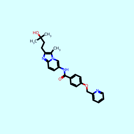 Cc1c(CCC(C)(C)O)nc2ccc(NC(=O)c3ccc(OCc4ccccn4)cc3)cn12